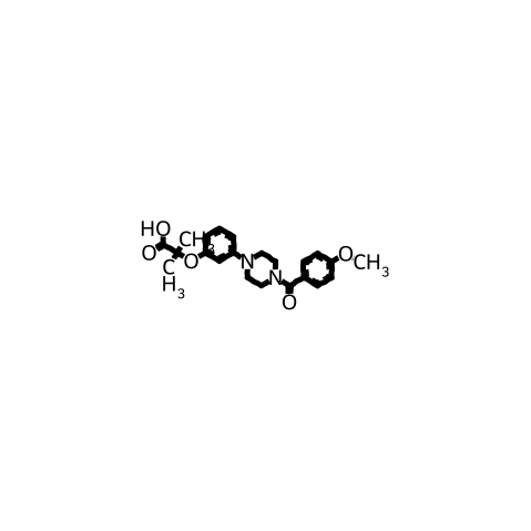 COc1ccc(C(=O)N2CCN(c3cccc(OC(C)(C)C(=O)O)c3)CC2)cc1